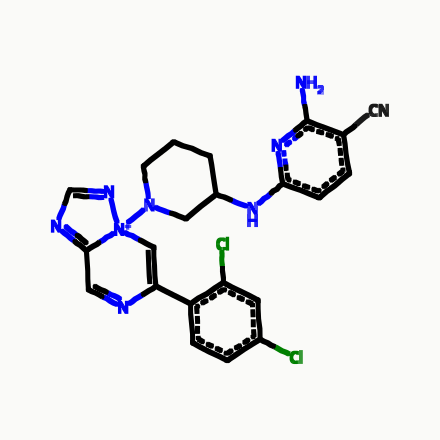 N#Cc1ccc(NC2CCCN([N+]34C=C(c5ccc(Cl)cc5Cl)N=CC3=NC=N4)C2)nc1N